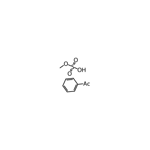 CC(=O)c1ccccc1.COS(=O)(=O)O